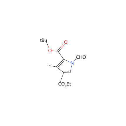 CCOC(=O)c1cn(C=O)c(C(=O)OC(C)(C)C)c1C